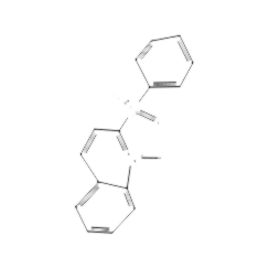 O=S(=O)(c1ccccc1)c1ccc2ccccc2[n+]1[O-]